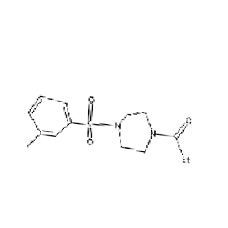 CCC(=O)N1CCN(S(=O)(=O)c2cccc(C)c2)CC1